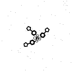 O=P(Oc1ccc(C2CCCC2)cc1)(Oc1ccc(C2CCCC2)cc1)Oc1ccc(C2CCCC2)cc1